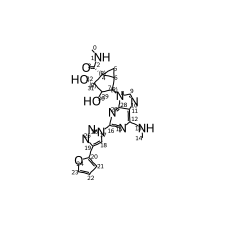 CNC(=O)[C@]12CC1[C@@H](n1cnc3c(NC)nc(-n4cc(-c5ccco5)nn4)nc31)C(O)[C@@H]2O